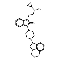 CN(CCn1c(=O)n(C2CCN(C3CC4CCCc5cccc3c54)CC2)c2ccccc21)C1CC1